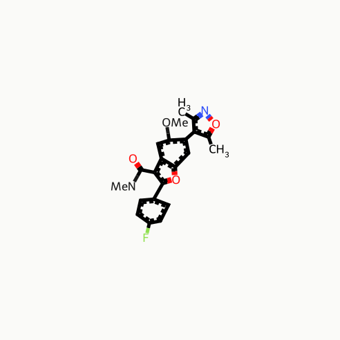 CNC(=O)c1c(-c2ccc(F)cc2)oc2cc(-c3c(C)noc3C)c(OC)cc12